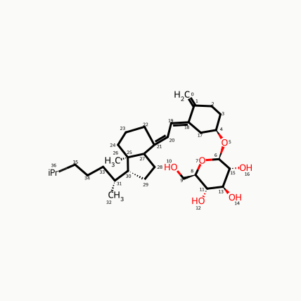 C=C1CC[C@@H](O[C@@H]2O[C@H](CO)[C@@H](O)[C@H](O)[C@H]2O)CC1=CC=C1CCC[C@@]2(C)C1CC[C@@H]2[C@H](C)CCCC(C)C